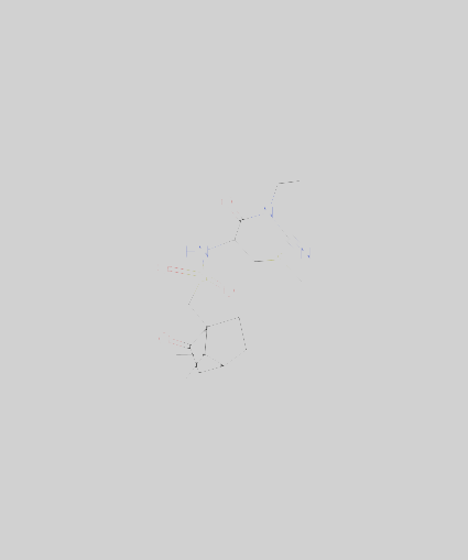 CCN(C#N)C(=O)C(CSC)NS(=O)(=O)CC12CCC(CC1=O)C2(C)C